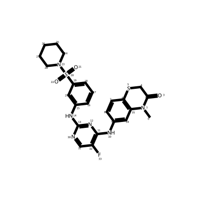 CN1C(=O)CSc2ccc(Nc3nc(Nc4cccc(S(=O)(=O)N5CCCCC5)c4)ncc3F)cc21